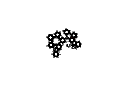 CC1(C)c2ccccc2-c2ccc(N(c3ccc4c(c3)c3ccccc3c3ccccc3c3ccccc3c3c4ccc4c5ccccc5oc43)c3ccccc3-c3ccccc3)cc21